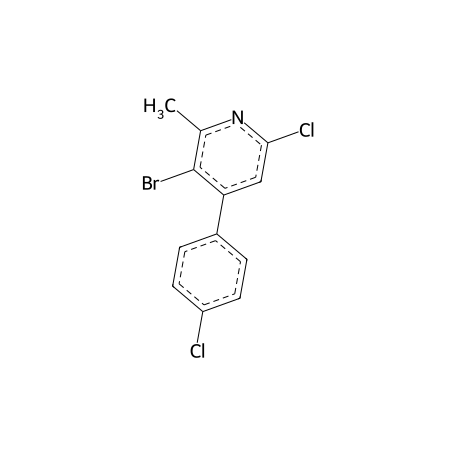 Cc1nc(Cl)cc(-c2ccc(Cl)cc2)c1Br